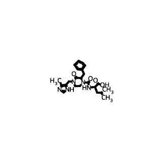 Cc1nc[nH]c1CN1CCN(C(=O)NC(CC(C)C)C(=O)O)C(Cc2ccccc2)C1=O